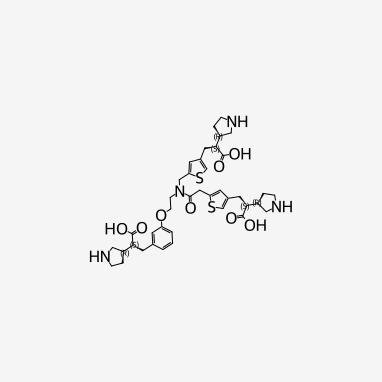 O=C(O)[C@@H](Cc1cccc(OCCN(Cc2cc(C[C@H](C(=O)O)[C@H]3CCNC3)cs2)C(=O)Cc2cc(C[C@H](C(=O)O)[C@H]3CCNC3)cs2)c1)[C@H]1CCNC1